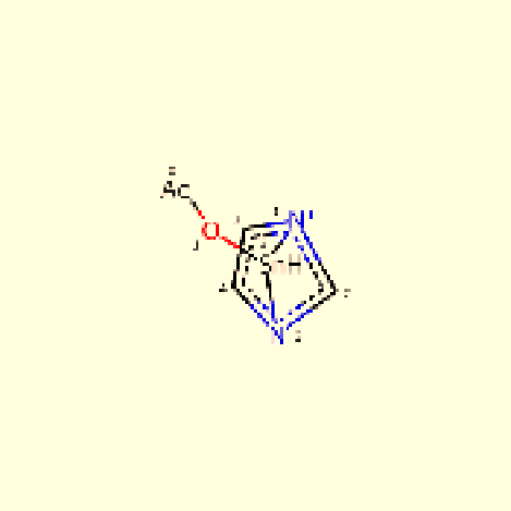 CC(=O)[O][SnH]1[n]2cc[n+]1c2